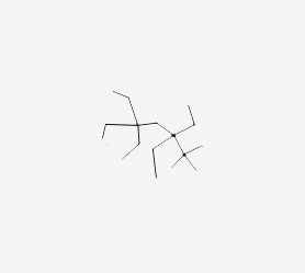 CCC(CC)(CO)CC(CC)(CC)C(F)(F)F